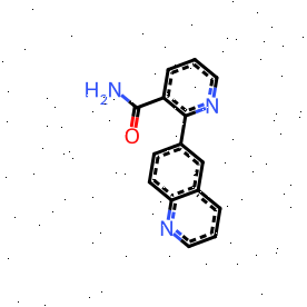 NC(=O)c1cccnc1-c1ccc2ncccc2c1